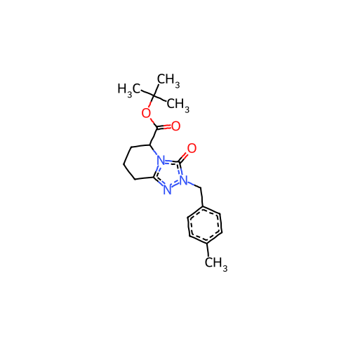 Cc1ccc(Cn2nc3n(c2=O)C(C(=O)OC(C)(C)C)CCC3)cc1